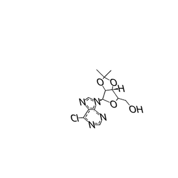 CC1(C)OC2[C@H](O1)C(CO)O[C@H]2n1cnc2c(Cl)ncnc21